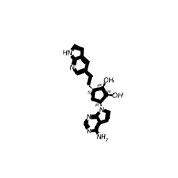 Nc1ncnc2c1ccn2[C@@H]1C[C@H](CCc2cnc3[nH]ccc3c2)[C@@H](O)[C@H]1O